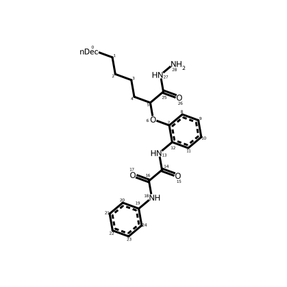 CCCCCCCCCCCCCCC(Oc1ccccc1NC(=O)C(=O)Nc1ccccc1)C(=O)NN